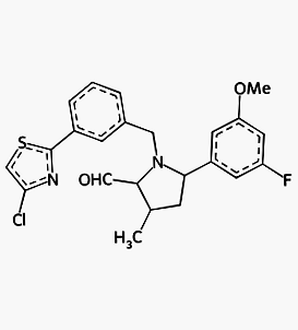 COc1cc(F)cc(C2CC(C)C(C=O)N2Cc2cccc(-c3nc(Cl)cs3)c2)c1